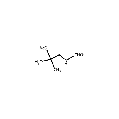 CC(=O)OC(C)(C)CN[C]=O